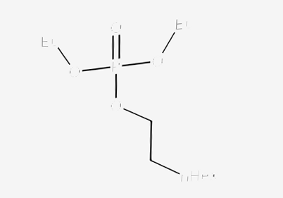 CCCCCCCCOP(=O)(OCC)OCC